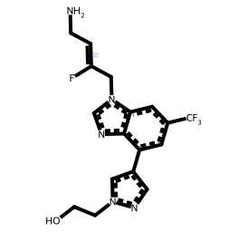 NC/C=C(\F)Cn1cnc2c(-c3cnn(CCO)c3)cc(C(F)(F)F)cc21